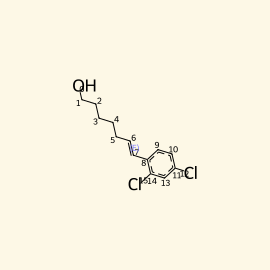 OCCCCC/C=C/c1ccc(Cl)cc1Cl